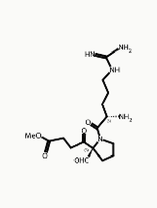 COC(=O)CCC(=O)[C@@]1([C]=O)CCCN1C(=O)[C@@H](N)CCCNC(=N)N